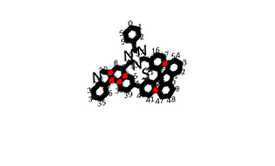 c1ccc(-c2nc(-c3ccccc3)nc(-c3cccc4c3Sc3c(-c5ccc(-c6ccnc7ccccc67)cc5)cccc3C43c4ccccc4-c4ccccc43)n2)cc1